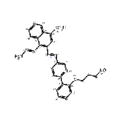 NN=Nc1c(/N=N/c2ccc(-c3ccccc3OCCCN=O)nc2)cc(S(=O)(=O)O)c2ccccc12